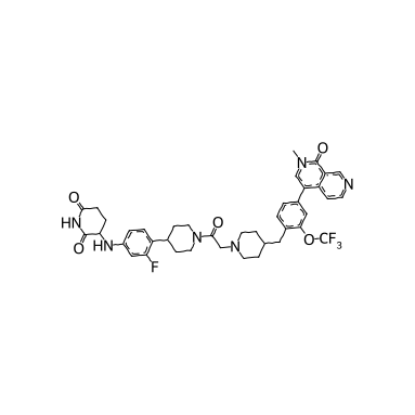 Cn1cc(-c2ccc(CC3CCN(CC(=O)N4CCC(c5ccc(NC6CCC(=O)NC6=O)cc5F)CC4)CC3)c(OC(F)(F)F)c2)c2ccncc2c1=O